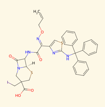 C=CCON=C(C(=O)NC1C(=O)N2CC(CI)(C(=O)O)CS[C@H]12)c1csc(NC(c2ccccc2)(c2ccccc2)c2ccccc2)n1